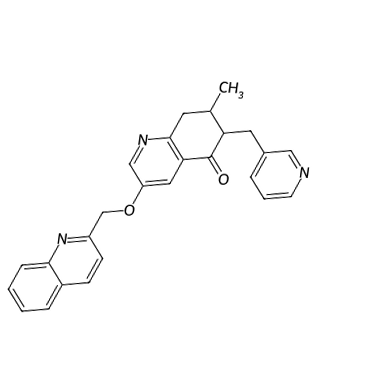 CC1Cc2ncc(OCc3ccc4ccccc4n3)cc2C(=O)C1Cc1cccnc1